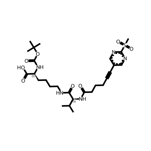 CC(C)[C@H](NC(=O)CCCC#Cc1cnc(S(C)(=O)=O)nc1)C(=O)NCCCC[C@H](NC(=O)OC(C)(C)C)C(=O)O